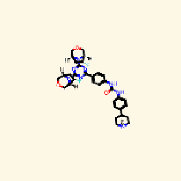 O=C(Nc1ccc(-c2nc(N3[C@@H]4COC[C@H]3[C@H](F)C4)nc(N3[C@@H]4COC[C@H]3[C@H](F)C4)n2)cc1)Nc1ccc(C23CCN(CC2)CC3)cc1